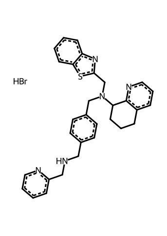 Br.c1ccc(CNCc2ccc(CN(Cc3nc4ccccc4s3)C3CCCc4cccnc43)cc2)nc1